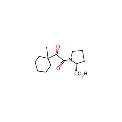 CC1(C(=O)C(=O)N2CCC[C@H]2C(=O)O)CCCCC1